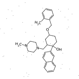 Cc1ccccc1COC1CCC(O)(c2ccc3ccccc3c2)C(CN2CCN(C)CC2)C1